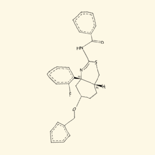 O=C(NC1=N[C@@]2(c3ccccc3F)CC(OCc3ccccc3)CC[C@H]2CS1)c1ccccc1